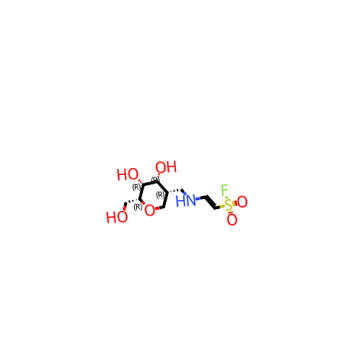 O=S(=O)(F)C=CNC[C@@H]1CO[C@H](CO)[C@H](O)[C@@H]1O